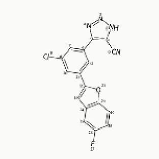 N#Cc1[nH]nnc1-c1cc(Cl)cc(-c2cc3cc(F)ccc3o2)c1